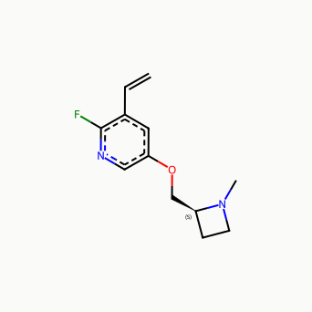 C=Cc1cc(OC[C@@H]2CCN2C)cnc1F